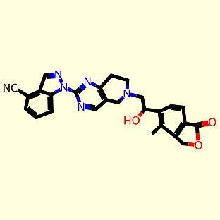 Cc1c(C(O)CN2CCc3nc(-n4ncc5c(C#N)cccc54)ncc3C2)ccc2c1COC2=O